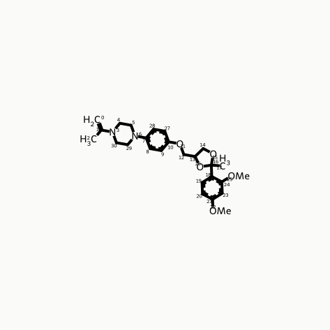 C=C(C)N1CCN(c2ccc(OCC3COC(C)(c4ccc(OC)cc4OC)O3)cc2)CC1